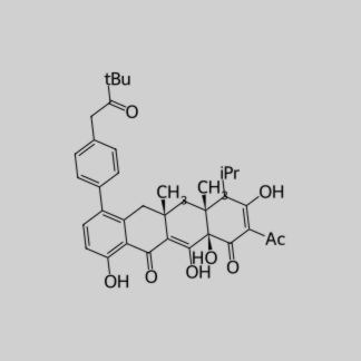 CC(=O)C1=C(O)C(C(C)C)[C@@]2(C)C[C@@]3(C)Cc4c(-c5ccc(CC(=O)C(C)(C)C)cc5)ccc(O)c4C(=O)C3=C(O)[C@@]2(O)C1=O